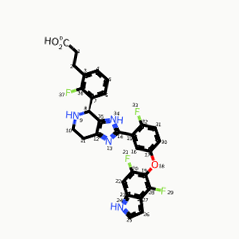 O=C(O)CCc1cccc([C@@H]2NCCc3nc(-c4cc(Oc5c(F)cc6[nH]ccc6c5F)ccc4F)[nH]c32)c1F